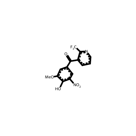 COc1cc(C(=O)c2cccnc2C(F)(F)F)cc([N+](=O)[O-])c1O